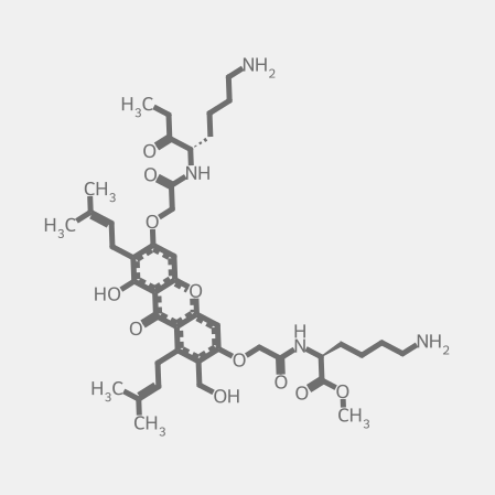 CCC(=O)[C@H](CCCCN)NC(=O)COc1cc2oc3cc(OCC(=O)N[C@@H](CCCCN)C(=O)OC)c(CO)c(CC=C(C)C)c3c(=O)c2c(O)c1CC=C(C)C